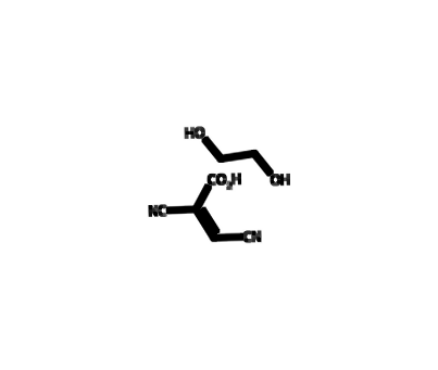 N#CC=C(C#N)C(=O)O.OCCO